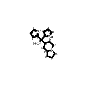 OC(c1cccs1)(c1cccs1)C1CCN2CCCC2C1